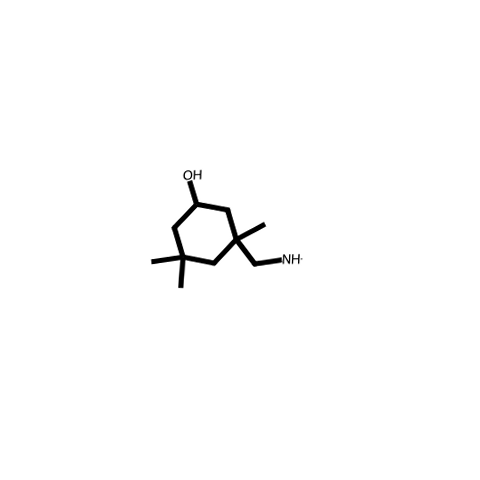 CC1(C)CC(O)CC(C)(C[NH])C1